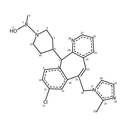 CB(O)N1CCC(C2c3ccc(Cl)cc3C(Cn3ccnc3C)=Cc3cccnc32)CC1